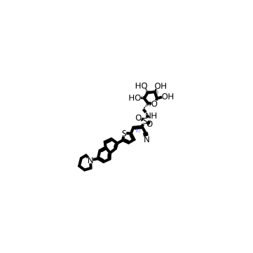 N#C/C(=C\c1ccc(-c2ccc3cc(N4CCCCC4)ccc3c2)s1)S(=O)(=O)NC[C@H]1OC(O)[C@H](O)[C@@H](O)[C@@H]1O